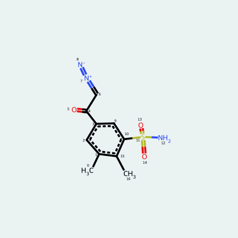 Cc1cc(C(=O)C=[N+]=[N-])cc(S(N)(=O)=O)c1C